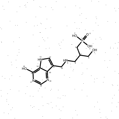 O=P(O)(O)CC(CO)CNCc1c[nH]c2c(O)ncnc12